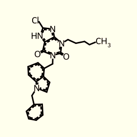 CCCCCn1c(=O)n(Cc2cccc3c2ccn3Cc2ccccc2)c(=O)c2[nH]c(Cl)nc21